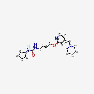 O=C(NCC=CCOc1cc(CN2CCCCC2)ccn1)NC1CCCC1